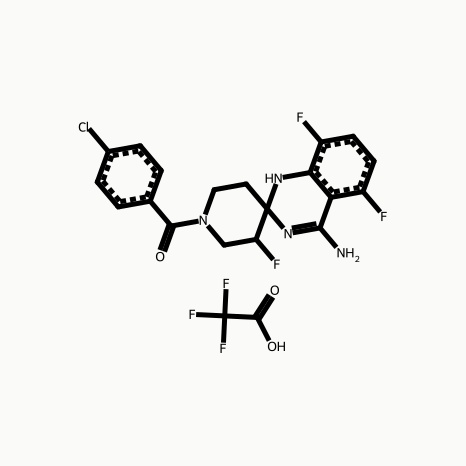 NC1=NC2(CCN(C(=O)c3ccc(Cl)cc3)CC2F)Nc2c(F)ccc(F)c21.O=C(O)C(F)(F)F